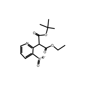 CCOC(=O)C(C(=O)OC(C)(C)C)c1ncccc1[N+](=O)[O-]